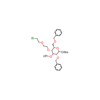 CCCO[C@H]1[C@H](OCCOCCBr)[C@@H](COCc2ccccc2)OC(OC)[C@@H]1OCc1ccccc1